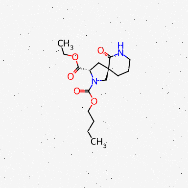 CCCCOC(=O)N1C[C@@]2(CCCNC2=O)C[C@H]1C(=O)OCC